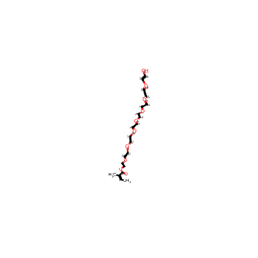 CC=C(C)C(=O)OCCOCCOCCOCCOCCOCCOCCOCCO